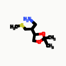 CSCC(CN)C1COC(C)(C)O1